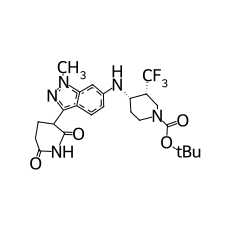 Cn1nc(C2CCC(=O)NC2=O)c2ccc(N[C@H]3CCN(C(=O)OC(C)(C)C)C[C@H]3C(F)(F)F)cc21